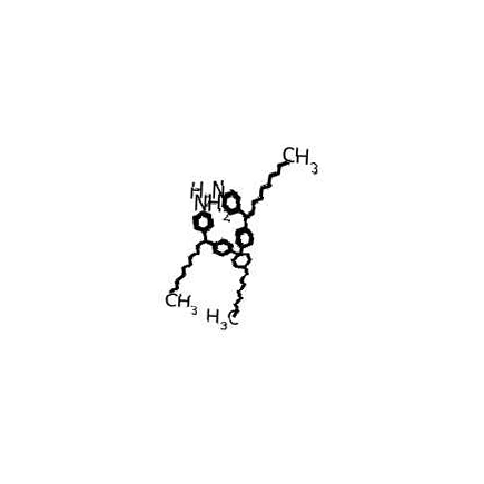 CCCCCCCCCCC(c1ccc(N)cc1)c1ccc(C2(c3ccc(C(CCCCCCCCCC)c4ccc(N)cc4)cc3)CCC(CCCCCCCC)CC2)cc1